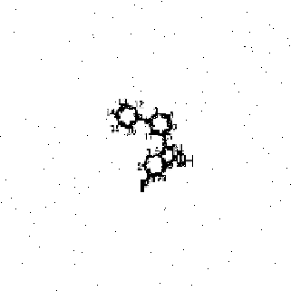 Fc1ccc2c(-c3cccc(-c4ccccc4)c3)n[nH]c2c1